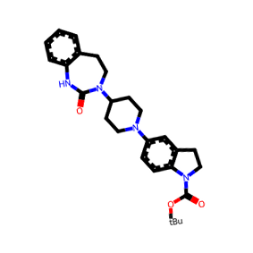 CC(C)(C)OC(=O)N1CCc2cc(N3CCC(N4CCc5ccccc5NC4=O)CC3)ccc21